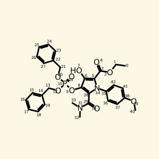 CCOC(=O)c1c(O)c(OP(=O)(OCc2ccccc2)OCc2ccccc2)c(C(=O)N(C)C)n1-c1ccc(OC)cc1